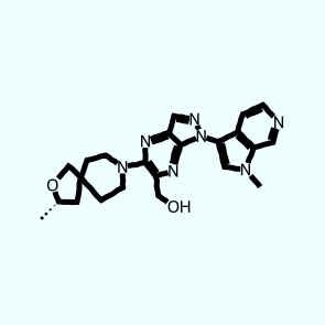 C[C@H]1CC2(CCN(c3nc4cnn(-c5cn(C)c6cnccc56)c4nc3CO)CC2)CO1